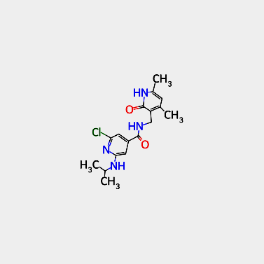 Cc1cc(C)c(CNC(=O)c2cc(Cl)nc(NC(C)C)c2)c(=O)[nH]1